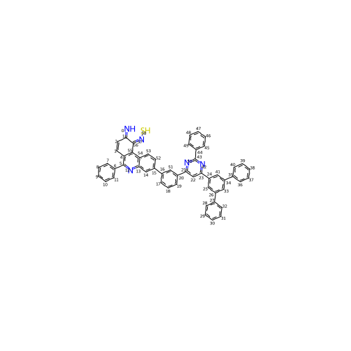 N=C1C=Cc2c(-c3ccccc3)nc3cc(-c4cccc(-c5cc(-c6cc(-c7ccccc7)cc(-c7ccccc7)c6)nc(-c6ccccc6)n5)c4)ccc3c2/C1=N/S